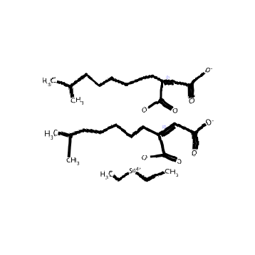 CC(C)CCCCC/C(=C/C(=O)[O-])C(=O)[O-].CC(C)CCCCC/C(=C/C(=O)[O-])C(=O)[O-].C[CH2][Sn+4][CH2]C